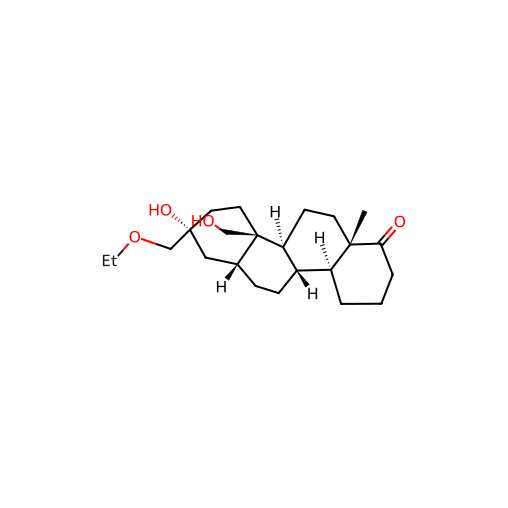 CCOC[C@@]1(O)CC[C@@]2(CO)[C@H](CC[C@@H]3[C@@H]2CC[C@]2(C)C(=O)CCC[C@@H]32)C1